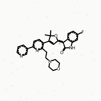 CC1(C)O/C(=C2/C(=O)Nc3cc(F)ccc32)C=C1c1ccc(-c2cccnc2)nc1CCN1CCOCC1